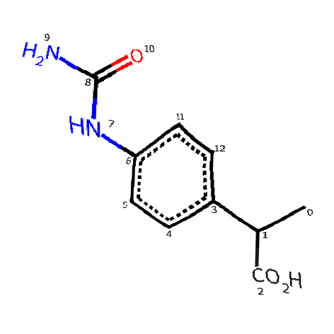 CC(C(=O)O)c1ccc(NC(N)=O)cc1